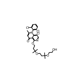 Cc1cc(=O)c2c(OCCC(C)(C)OCCC(C)(C)OCCO)ncc(Cl)c2n1-c1c(Cl)cccc1Cl